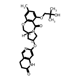 Cc1cc2c(c(OCC(C)(C)O)c1)C(=O)N1C[C@@H](Oc3cc4c(cn3)CCC(=O)N4)C[C@@H]1CO2